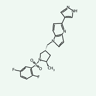 C[C@@H]1C[C@@H](Cn2ccc3nc(-c4cn[nH]c4)ccc32)CN1S(=O)(=O)c1cc(F)ccc1F